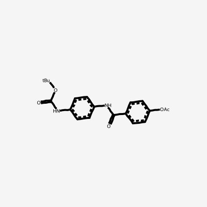 CC(=O)Oc1ccc(C(=O)Nc2ccc(NC(=O)OC(C)(C)C)cc2)cc1